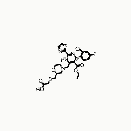 CCOC(=O)C1=C(CN2CCOC(CSCC(=O)O)C2)NC(c2nccs2)=N[C@H]1c1ccc(F)cc1Cl